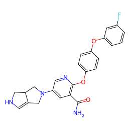 NC(=O)c1cc(N2CC3=CNCC3C2)cnc1Oc1ccc(Oc2cccc(F)c2)cc1